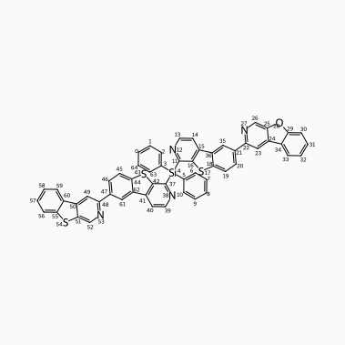 c1ccc([Si](c2ccccc2)(c2nccc3c2sc2ccc(-c4cc5c(cn4)oc4ccccc45)cc23)c2nccc3c2sc2ccc(-c4cc5c(cn4)sc4ccccc45)cc23)cc1